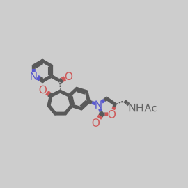 CC(=O)NC[C@H]1CN(c2ccc3c(c2)CCCC(=O)[C@@H]3C(=O)c2cccnc2)C(=O)O1